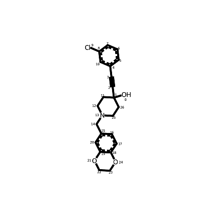 OC1(C#Cc2cccc(Cl)c2)CCN(Cc2ccc3c(c2)OCCO3)CC1